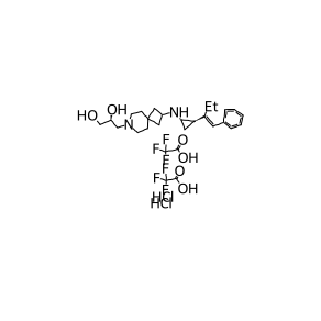 CC/C(=C\c1ccccc1)[C@H]1C[C@@H]1NC1CC2(CCN(C[C@H](O)CO)CC2)C1.Cl.Cl.O=C(O)C(F)(F)F.O=C(O)C(F)(F)F